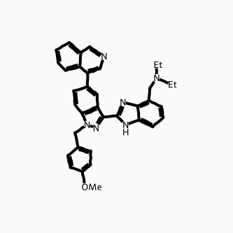 CCN(CC)Cc1cccc2[nH]c(-c3nn(Cc4ccc(OC)cc4)c4ccc(-c5cncc6ccccc56)cc34)nc12